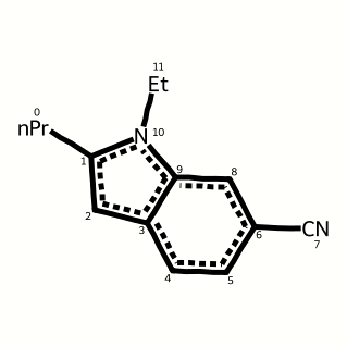 CCCc1cc2ccc(C#N)cc2n1CC